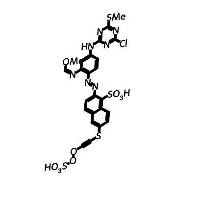 CO/C=N\c1cc(Nc2nc(Cl)nc(SC)n2)ccc1N=Nc1ccc2cc(SC#COOS(=O)(=O)O)ccc2c1S(=O)(=O)O